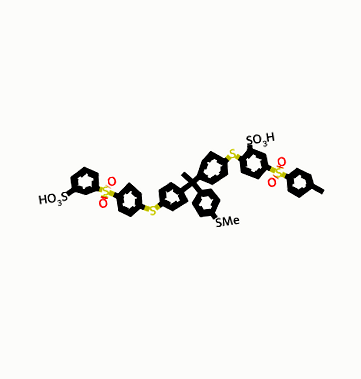 CSc1ccc(C(C)(c2ccc(Sc3ccc(S(=O)(=O)c4cccc(S(=O)(=O)O)c4)cc3)cc2)c2ccc(Sc3ccc(S(=O)(=O)c4ccc(C)cc4)cc3S(=O)(=O)O)cc2)cc1